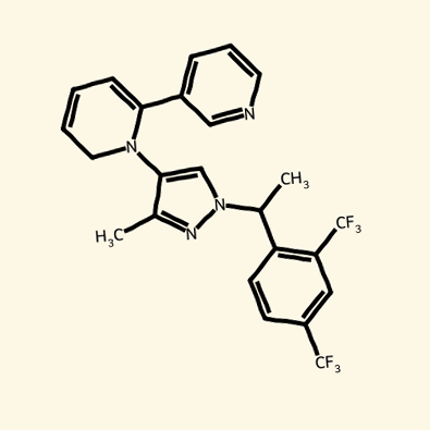 Cc1nn(C(C)c2ccc(C(F)(F)F)cc2C(F)(F)F)cc1N1CC=CC=C1c1cccnc1